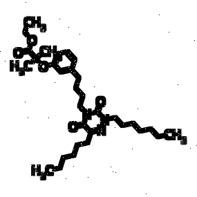 CCCCCCCn1nc(CCCCCC)c(=O)n(CCCCc2cccc(OC(C)(C)C(=O)OCC)c2)c1=O